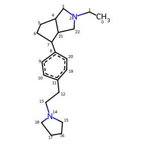 CCN1CC2CCC(c3ccc(CCN4CCCC4)cc3)C2C1